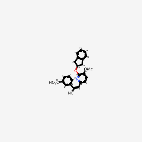 COc1ccc(C=C(C#N)c2cccc(C(=O)O)c2)nc1OC1Cc2ccccc2C1